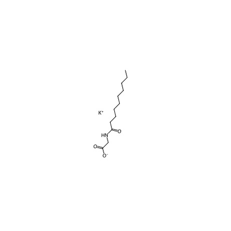 CCCCCCCCCC(=O)NCC(=O)[O-].[K+]